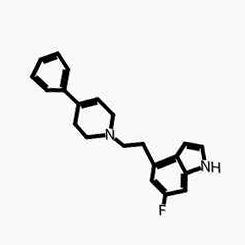 Fc1cc(CCN2CC=C(c3ccccc3)CC2)c2cc[nH]c2c1